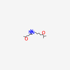 CC(=O)CCc1cn(CCCCC(=O)C(C)C)nn1